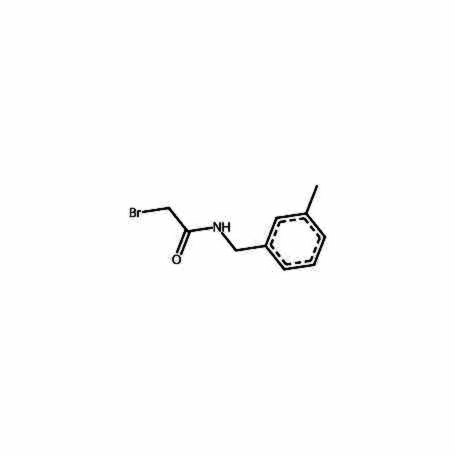 Cc1cccc(CNC(=O)CBr)c1